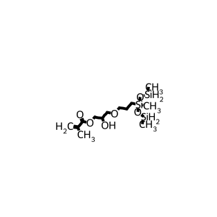 C=C(C)C(=O)OCC(O)COCCC[Si](C)(O[SiH2]C)O[SiH2]C